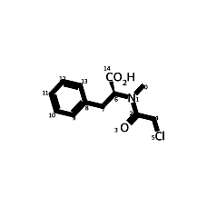 CN(C(=O)CCl)[C@@H](Cc1ccccc1)C(=O)O